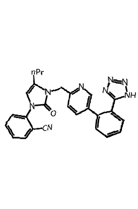 CCCc1cn(-c2ccccc2C#N)c(=O)n1Cc1ccc(-c2ccccc2-c2nnn[nH]2)cn1